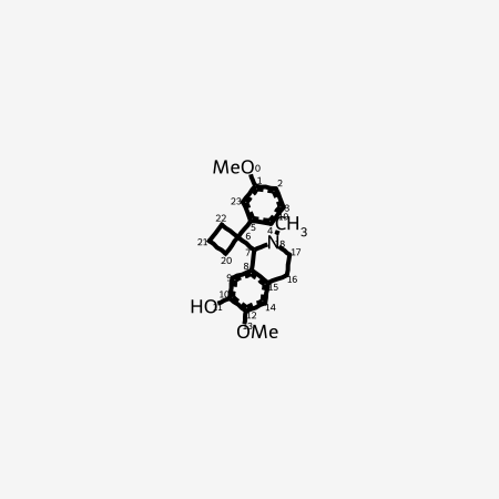 COc1cccc(C2(C3c4cc(O)c(OC)cc4CCN3C)CCC2)c1